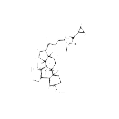 CC[C@@H]1C2C[C@H](O)CCC2(C)[C@H]2CCC3(C)C([C@H](C)CCC4OC(C5CC5)=NN4C)CC[C@H]3C2[C@@H]1O